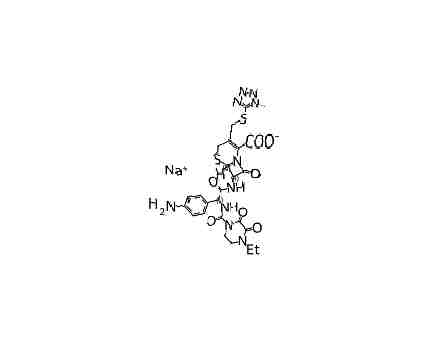 CCN1CCN(C(=O)N[C@H](C(=O)N[C@@H]2C(=O)N3C(C(=O)[O-])=C(CSc4nnnn4C)CS[C@@H]23)c2ccc(N)cc2)C(=O)C1=O.[Na+]